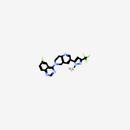 Cn1nc(C(F)(F)F)cc1-c1cnc2c(c1)CN(c1ncnc3ccc(F)cc13)CC2